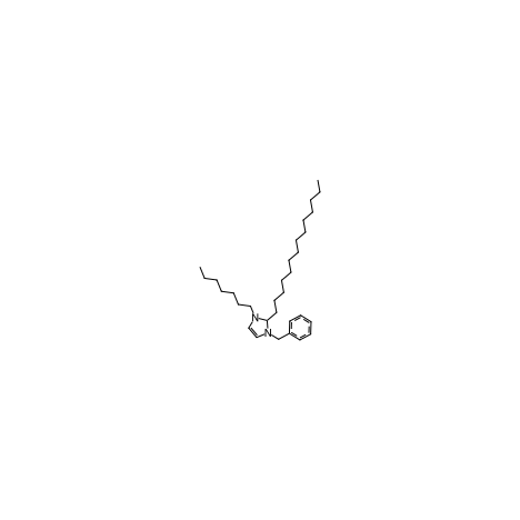 CCCCCCCCCCCCCCC1N(CCCCCCC)C=CN1Cc1ccccc1